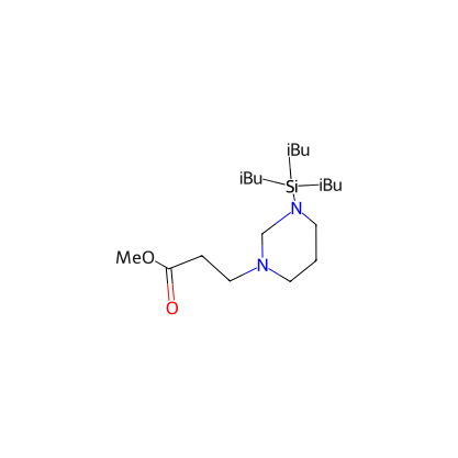 CCC(C)[Si](C(C)CC)(C(C)CC)N1CCCN(CCC(=O)OC)C1